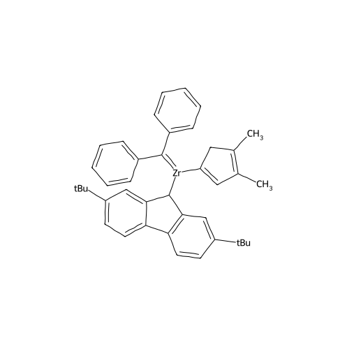 CC1=C(C)C[C]([Zr](=[C](c2ccccc2)c2ccccc2)[CH]2c3cc(C(C)(C)C)ccc3-c3ccc(C(C)(C)C)cc32)=C1